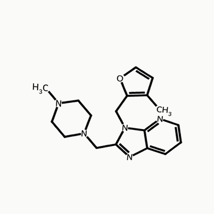 Cc1ccoc1Cn1c(CN2CCN(C)CC2)nc2cccnc21